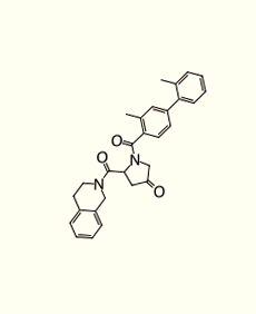 Cc1cc(-c2ccccc2C)ccc1C(=O)N1CC(=O)CC1C(=O)N1CCc2ccccc2C1